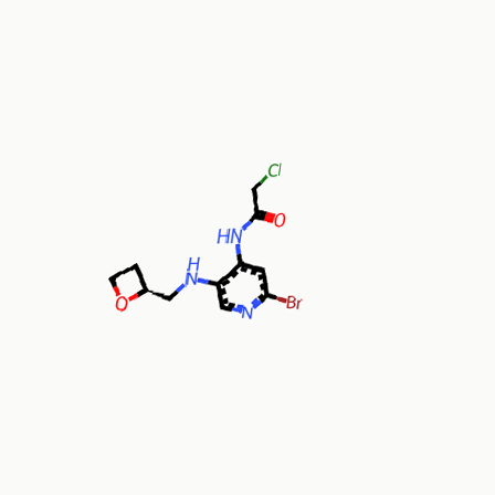 O=C(CCl)Nc1cc(Br)ncc1NC[C@@H]1CCO1